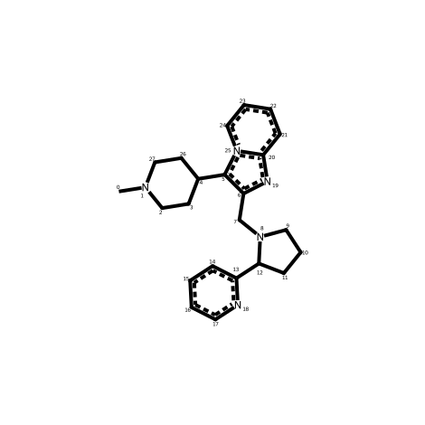 CN1CCC(c2c(CN3CCCC3c3ccccn3)nc3ccccn23)CC1